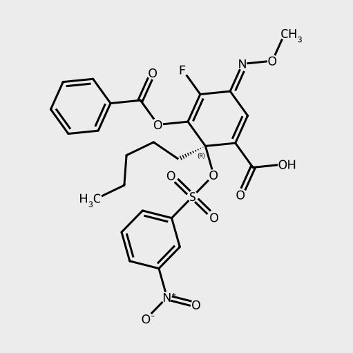 CCCCC[C@@]1(OS(=O)(=O)c2cccc([N+](=O)[O-])c2)C(C(=O)O)=CC(=NOC)C(F)=C1OC(=O)c1ccccc1